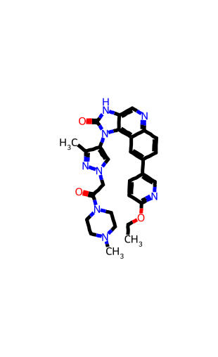 CCOc1ccc(-c2ccc3ncc4[nH]c(=O)n(-c5cn(CC(=O)N6CCN(C)CC6)nc5C)c4c3c2)cn1